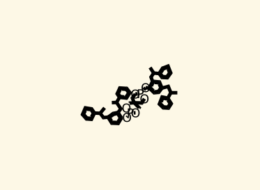 CC(Cc1ccc(OP2OCC3(CO2)COP(Oc2ccc(CC(C)c4ccccc4)cc2CC(C)c2ccccc2)OC3)c(CC(C)c2ccccc2)c1)c1ccccc1